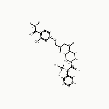 CC(COc1ccc(C(=O)N(C)C)c(Cl)c1)CC(C)C1CCN(C(=O)[C@H](c2ccccc2)C(F)(F)F)CC1